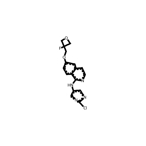 FC1(COc2ccc3c(Nc4cnc(Cl)nc4)nccc3c2)COC1